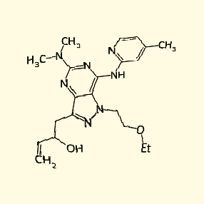 C=CC(O)Cc1nn(CCOCC)c2c(Nc3cc(C)ccn3)nc(N(C)C)nc12